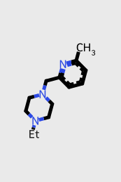 CCN1CCN(Cc2cccc(C)n2)CC1